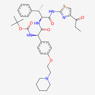 CCC(=O)c1csc(NC(=O)[C@@H](NC(=O)[C@H](NC(=O)OC(C)(C)C)c2ccc(OCCN3CCCCC3)cc2)[C@@H](C)c2ccccc2)n1